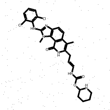 Cc1c(CC=CNC(=O)OC2CCCCN2)[nH]c(=O)c2c1ccc1nc(Nc3c(Cl)cccc3Cl)n(C)c12